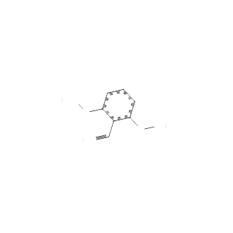 [CH]=Cc1c(SC)cccc1SC